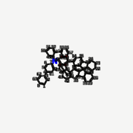 c1ccc(-c2ccc(N(c3ccc(-c4ccc5c(c4)C4(c6ccccc6-5)c5ccccc5-c5cc6c(cc54)C4CC5CC6CC4C5)cc3)c3ccccc3-c3ccccc3)cc2)cc1